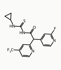 O=C(NC(=S)NC1CC1)C(c1ccnc(F)c1)c1cc(C(F)(F)F)ccn1